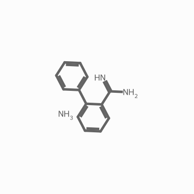 N.N=C(N)c1ccccc1-c1ccccc1